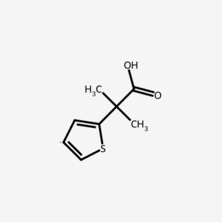 CC(C)(C(=O)O)c1c[c]cs1